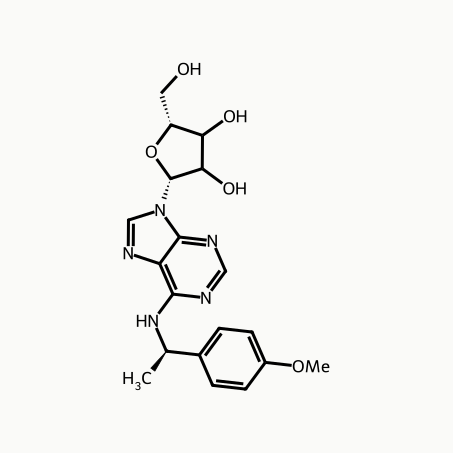 COc1ccc([C@@H](C)Nc2ncnc3c2ncn3[C@@H]2O[C@H](CO)C(O)C2O)cc1